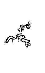 CC(C)(C)OC(=O)N1CCC2(CCCN(c3c(/C=C(\F)c4ccn(-c5ccnnc5)n4)ccc(Oc4cccc(F)c4F)c3C(F)(F)F)C2)CC1